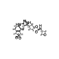 O=C(NC1COC1)OC1CCC(c2cc(Nc3ccc4c(c3F)CS(=O)(=O)C4)n[nH]2)C1